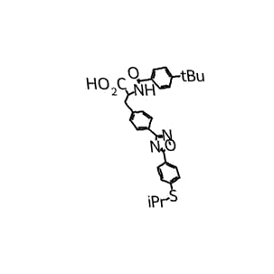 CC(C)Sc1ccc(-c2nc(-c3ccc(CC(NC(=O)c4ccc(C(C)(C)C)cc4)C(=O)O)cc3)no2)cc1